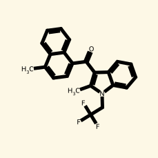 Cc1ccc(C(=O)c2c(C)n(CC(F)(F)F)c3ccccc23)c2ccccc12